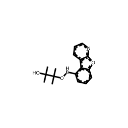 CC(C)(O)C(C)(C)OBc1cccc2oc3ncccc3c12